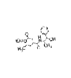 C=CCC(CC(=O)OC(C)(C)C)C(=O)NC(C)C(O)c1ccccc1